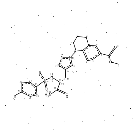 COC(=O)c1ccc2c(c1)CCCC2n1cc(C[C@@H](NS(=O)(=O)c2ccc(C)cc2)C(N)=O)nn1